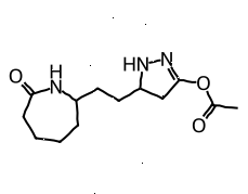 CC(=O)OC1=NNC(CCC2CCCCC(=O)N2)C1